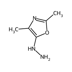 Cc1nc(C)c(NN)o1